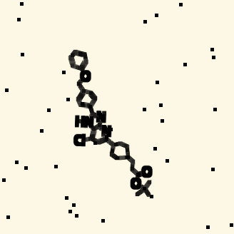 CC(C)(C)OC(=O)CCC1CCC(c2cc(Cl)c3[nH]c(-c4ccc(COc5ccccc5)cc4)nc3n2)CC1